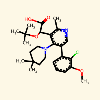 COc1cccc(-c2cnc(C)c(C(OC(C)(C)C)C(=O)O)c2N2CCC(C)(C)CC2)c1Cl